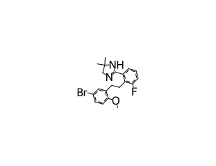 COc1ccc(Br)cc1CCc1c(F)cccc1C1=NCC(C)(C)N1